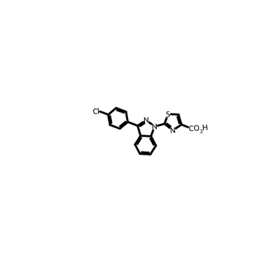 O=C(O)c1csc(-n2nc(-c3ccc(Cl)cc3)c3ccccc32)n1